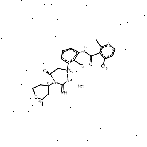 Cc1nccc(C(F)(F)F)c1C(=O)Nc1cccc([C@]2(C)CC(=O)N([C@@H]3CCO[C@H](C)C3)C(=N)N2)c1Cl.Cl